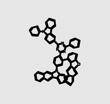 c1ccc(-c2nc(-c3ccc4c(c3)c3ccccc3n4-c3ccccc3)nc(-c3ccc(-n4c5ccccc5c5cc6ccccc6cc54)cc3-c3cccc4oc5cc6ccccc6cc5c34)n2)cc1